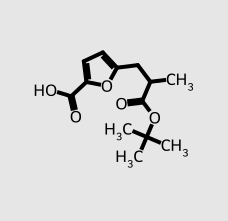 CC(Cc1ccc(C(=O)O)o1)C(=O)OC(C)(C)C